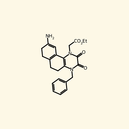 CCOC(=O)Cn1c2c(n(Cc3ccccc3)c(=O)c1=O)CCC1=C2C=C(N)CC1